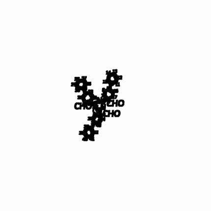 O=CC1(c2nc(C3(C=O)C=CC(c4ccccc4)=CC3)nc(C3(C=O)C=CC(c4ccccc4)=CC3)n2)C=CC(c2ccccc2)=CC1